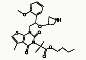 CCCCOC(=O)C(C)(C)n1c(=O)c2c(C)csc2n(CC(OC2CNC2)c2ccccc2OC)c1=O